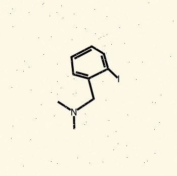 CN(C)Cc1ccccc1I